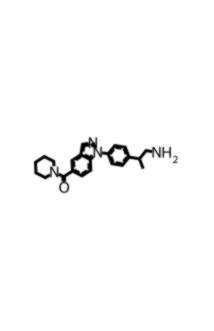 CC(CN)c1ccc(-n2ncc3cc(C(=O)N4CCCCC4)ccc32)cc1